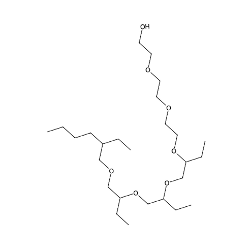 CCCCC(CC)COCC(CC)OCC(CC)OCC(CC)OCCOCCOCCO